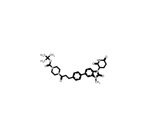 Cn1c(=O)n(C2CCC(=O)NC2=O)c2ccc(-c3ccc(CCC(=O)N4CCN(C(=O)OC(C)(C)C)CC4)cc3)cc21